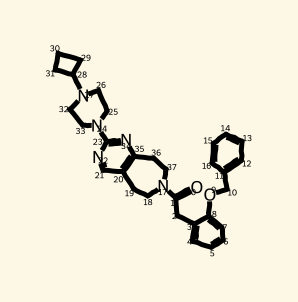 O=C(Cc1ccccc1OCc1ccccc1)N1CCc2cnc(N3CCN(C4CCC4)CC3)nc2CC1